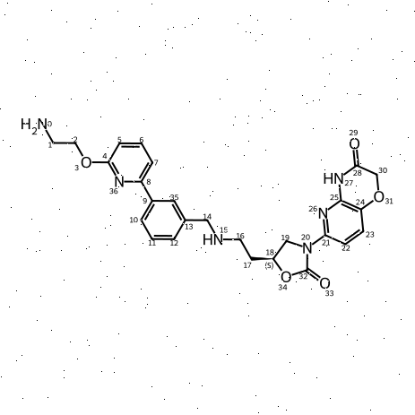 NCCOc1cccc(-c2cccc(CNCC[C@H]3CN(c4ccc5c(n4)NC(=O)CO5)C(=O)O3)c2)n1